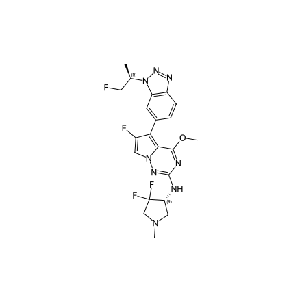 COc1nc(N[C@@H]2CN(C)CC2(F)F)nn2cc(F)c(-c3ccc4nnn([C@H](C)CF)c4c3)c12